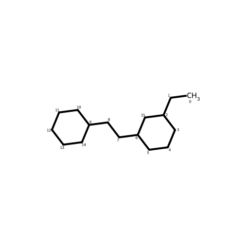 CCC1CCCC(CCC2CCCCC2)C1